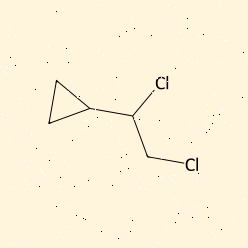 ClCC(Cl)C1CC1